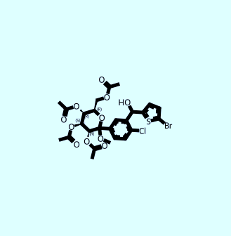 COC1(c2ccc(Cl)c(C(O)c3ccc(Br)s3)c2)O[C@H](COC(C)=O)[C@@H](OC(C)=O)[C@H](OC(C)=O)[C@H]1OC(C)=O